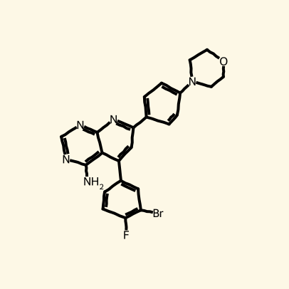 Nc1ncnc2nc(-c3ccc(N4CCOCC4)cc3)cc(-c3ccc(F)c(Br)c3)c12